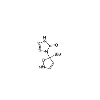 CC(C)(C)C1(n2nn[nH]c2=O)C=CNO1